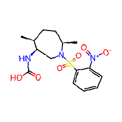 C[C@@H]1CC[C@H](C)[C@H](NC(=O)O)CN1S(=O)(=O)c1ccccc1[N+](=O)[O-]